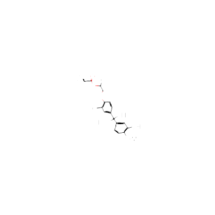 C=CC(=O)OC(C)COc1ccc(C(C)(C)c2ccc(OC)c(C)c2)cc1C